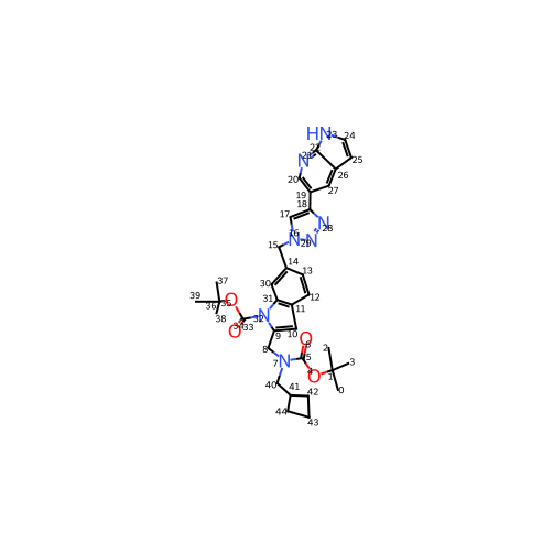 CC(C)(C)OC(=O)N(Cc1cc2ccc(Cn3cc(-c4cnc5[nH]ccc5c4)nn3)cc2n1C(=O)OC(C)(C)C)CC1CCC1